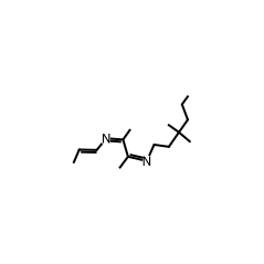 C/C=C/N=C(C)\C(C)=N/CCC(C)(C)CCC